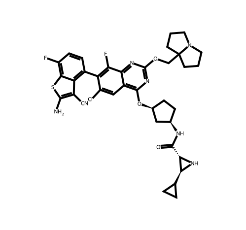 N#Cc1c(N)sc2c(F)ccc(-c3c(Cl)cc4c(O[C@H]5CC[C@@H](NC(=O)[C@@H]6N[C@H]6C6CC6)C5)nc(OCC56CCCN5CCC6)nc4c3F)c12